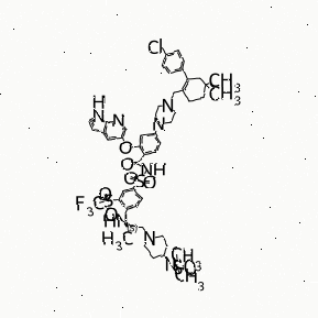 C[C@@H](CN1CCC(N=S(C)(C)=O)CC1)Nc1ccc(S(=O)(=O)NC(=O)c2ccc(N3CCN(CC4=C(c5ccc(Cl)cc5)CC(C)(C)CC4)CC3)cc2Oc2cnc3[nH]ccc3c2)cc1S(=O)(=O)C(F)(F)F